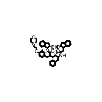 O=C(CC1c2ccccc2CC1O)NC(Cc1ccccc1)C(O)CC(Cc1ccc(OCCN2CCOCC2)cc1)C(=O)N[C@H]1c2ccccc2C[C@@H]1O